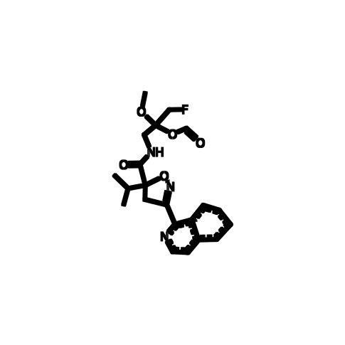 COC(CF)(CNC(=O)C1(C(C)C)CC(c2nccc3ccccc23)=NO1)OC=O